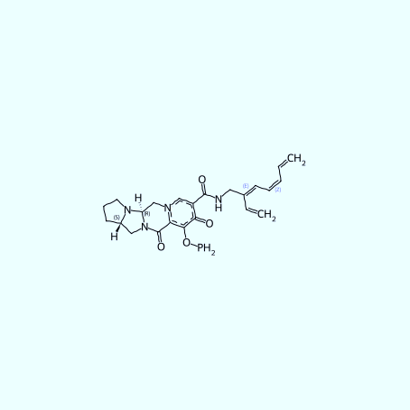 C=C/C=C\C=C(/C=C)CNC(=O)c1cn2c(c(OP)c1=O)C(=O)N1C[C@@H]3CCCN3[C@H]1C2